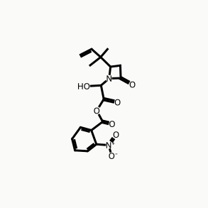 C=CC(C)(C)C1CC(=O)N1C(O)C(=O)OC(=O)c1ccccc1[N+](=O)[O-]